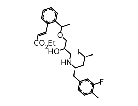 CCOC(=O)/C=C/c1ccccc1C(C)OCC(O)CN[C@H](Cc1ccc(C)c(F)c1)C[C@H](C)I